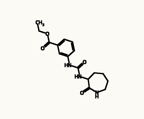 CCOC(=O)c1cccc(NC(=O)NC2CCCCNC2=O)c1